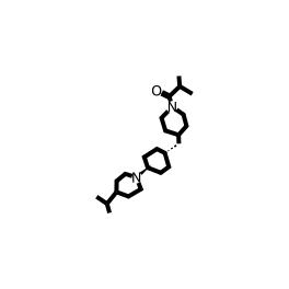 CC(C)C(=O)N1CCC(C[C@H]2CC[C@H](N3CCC(C(C)C)CC3)CC2)CC1